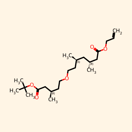 C=CCOC(=O)C[C@H](C)C[C@H](C)CCOCC[C@@H](C)CC(=O)OC(C)(C)C